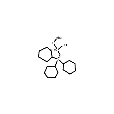 CCCC[O][Zr]([OH])([OH])[O][Si](C1CCCCC1)(C1CCCCC1)C1CCCCC1